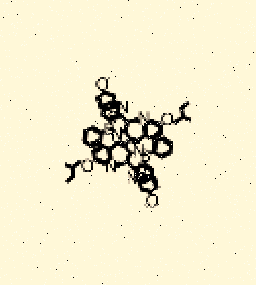 CCC(C)COc1ccc(-c2c3/c(=C(\C#N)c4nc5cc(OC)ccc5s4)n(B(c4ccccc4)c4ccccc4)c(-c4ccc(OCC(C)CC)cc4)c3/c(=C(\C#N)c3nc4cc(OC)ccc4s3)n2B(c2ccccc2)c2ccccc2)cc1